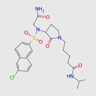 CC(C)NC(=O)CCCCN1CCC(N(CC(N)=O)S(=O)(=O)c2ccc3cc(Cl)ccc3c2)C1=O